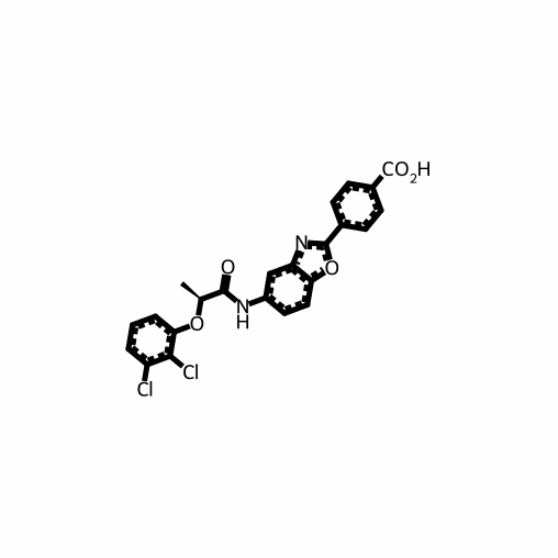 C[C@H](Oc1cccc(Cl)c1Cl)C(=O)Nc1ccc2oc(-c3ccc(C(=O)O)cc3)nc2c1